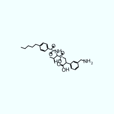 CCCCCc1ccc(S(=O)(=O)NC(C(C)C)P(=O)(O)CC(C(=O)O)c2cccc(CN)c2)cc1